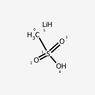 CS(=O)(=O)O.[LiH]